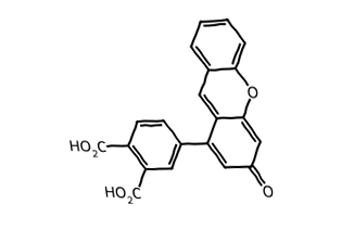 O=C(O)c1ccc(-c2cc(=O)cc3oc4ccccc4cc2-3)cc1C(=O)O